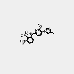 CNc1cccc(Nc2ccc(-n3cnc(C)c3)c(OC)n2)c1[N+](=O)[O-]